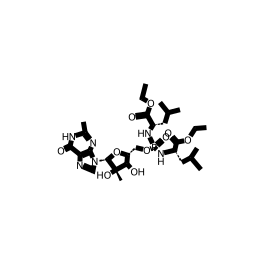 CCOC(=O)[C@H](CC(C)C)NP(=O)(N[C@@H](CC(C)C)C(=O)OCC)OC[C@H]1O[C@@H](n2cnc3c(=O)[nH]c(C)nc32)[C@@](C)(O)C1O